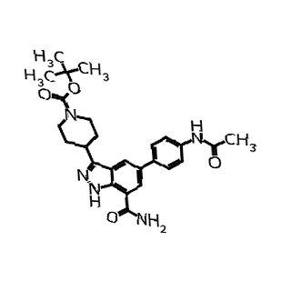 CC(=O)Nc1ccc(-c2cc(C(N)=O)c3[nH]nc(C4CCN(C(=O)OC(C)(C)C)CC4)c3c2)cc1